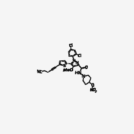 COc1c(C(=O)NN2CCC(O[N+](=O)[O-])CC2)nn(-c2ccc(Cl)cc2Cl)c1-c1ccc(C#CCCC#N)s1